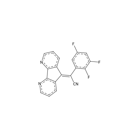 N#CC(=C1c2cccnc2-c2ncccc21)c1cc(F)cc(F)c1F